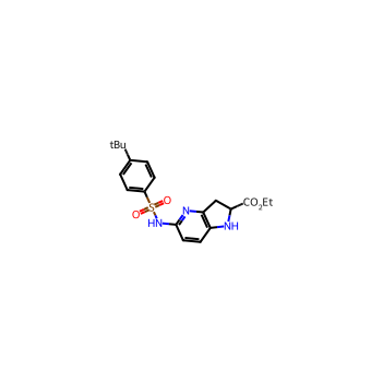 CCOC(=O)C1Cc2nc(NS(=O)(=O)c3ccc(C(C)(C)C)cc3)ccc2N1